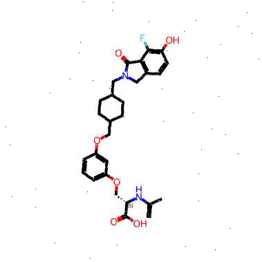 C=C(C)N[C@@H](COc1cccc(OCC2CCC(CN3Cc4ccc(O)c(F)c4C3=O)CC2)c1)C(=O)O